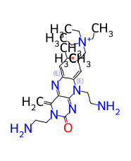 C=c1c2c(nc(=O)n1CCN)N(CCN)C(=C/C(C)C[N+](CC)(CC)CC)/C(=C\C(C)C)N=2